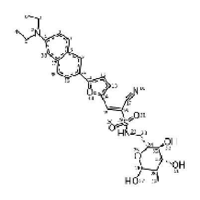 CCN(CC)c1ccc2cc(-c3ccc(/C=C(\C#N)S(=O)(=O)NC[C@H]4OC(O)[C@H](C)[C@@H](O)[C@@H]4O)o3)ccc2c1